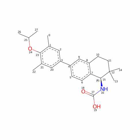 Cc1cc(-c2ccc3c(c2)CCC(C)(C)[C@H]3NC(=O)O)cc(C)c1OC(C)C